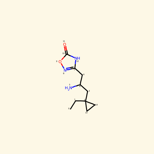 CCC1(CC(N)Cc2noc(=O)[nH]2)CC1